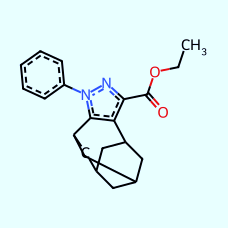 CCOC(=O)c1nn(-c2ccccc2)c2c1C1CC3CC(C1)CC2C3